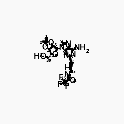 CC1(C)OC2C(O1)[C@@H](n1cnc3c(N)nc(C#CCNC(=O)C(F)(F)F)nc31)O[C@H]2CO